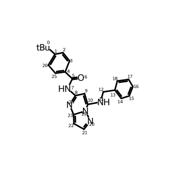 CC(C)(C)c1ccc(C(=O)Nc2cc(NCc3ccccc3)n3nccc3n2)cc1